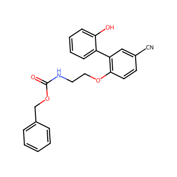 N#Cc1ccc(OCCNC(=O)OCc2ccccc2)c(-c2ccccc2O)c1